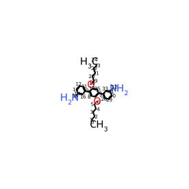 CCCCCCOc1cc(-c2cccc(N)c2)c(OCCCCCC)cc1-c1cccc(N)c1